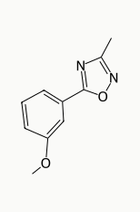 COc1cccc(-c2nc(C)no2)c1